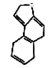 C1=CCC2=C(C1)CC=C1OCC=C12